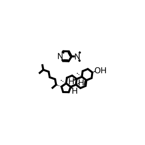 CC(C)CCCC(C)[C@H]1CC[C@H]2[C@@H]3CC=C4C[C@@H](O)CC[C@]4(C)[C@H]3CC[C@]12C.CN(C)c1ccncc1